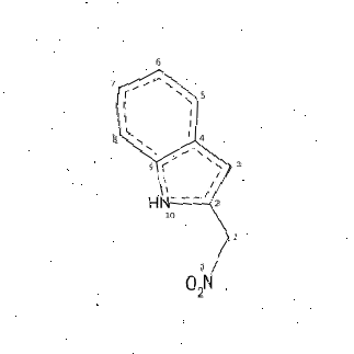 O=[N+]([O-])[CH]c1cc2ccccc2[nH]1